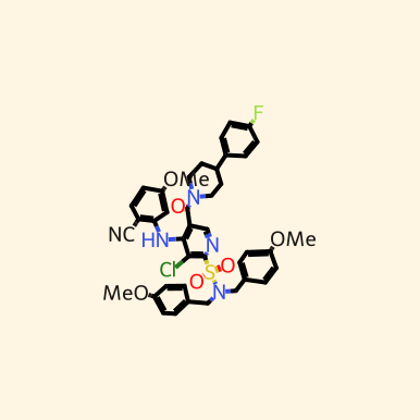 COc1ccc(CN(Cc2ccc(OC)cc2)S(=O)(=O)c2ncc(C(=O)N3CCC(c4ccc(F)cc4)CC3)c(Nc3cc(OC)ccc3C#N)c2Cl)cc1